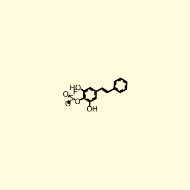 O=S(=O)(F)Oc1c(O)cc(/C=C/c2ccccc2)cc1O